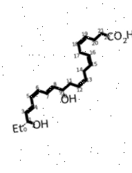 CC[C@@H](O)/C=C/C=C\C=C\[C@@H](O)C/C=C\C/C=C\C/C=C\CCC(=O)O